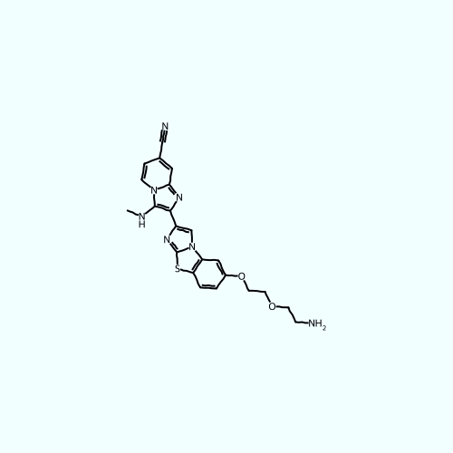 CNc1c(-c2cn3c(n2)sc2ccc(OCCOCCN)cc23)nc2cc(C#N)ccn12